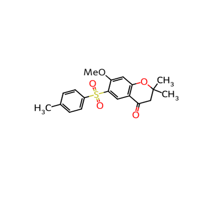 COc1cc2c(cc1S(=O)(=O)c1ccc(C)cc1)C(=O)CC(C)(C)O2